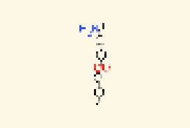 CCC1CCC(c2ccc(OC(=O)C3CCC(C4CCC(C(N)CC)CC4)CC3)cc2)CC1